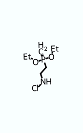 C=P(CCNCl)(OCC)OCC